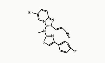 CN(c1nc(-c2ccc(F)cc2)cs1)c1c(/C=C/C#N)nc2ccc(Br)cn12